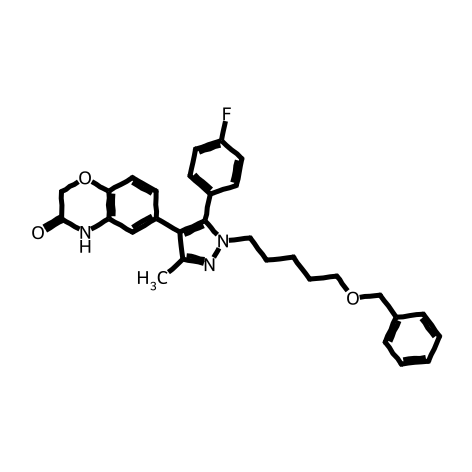 Cc1nn(CCCCCOCc2ccccc2)c(-c2ccc(F)cc2)c1-c1ccc2c(c1)NC(=O)CO2